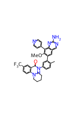 COc1c(-c2cc(NC(=O)c3cc(C(F)(F)F)ccc3N3CCCCC3)ccc2C)cc2cnc(N)nc2c1-c1ccncc1